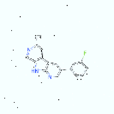 N#Cc1cc2c(cn1)[nH]c1ncc(-c3cccc(F)c3)cc12